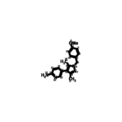 COc1ccc(Cn2nc(C)c(-c3ccc(N)nc3)c2C)cc1